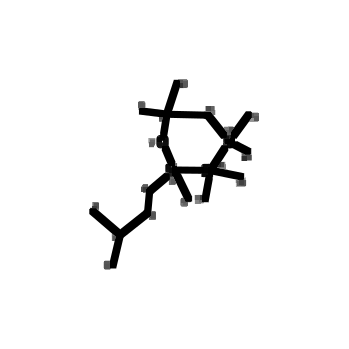 CC(C)CC[Si]1(C)OC(C)(C)C[Si](C)(C)[Si]1(C)C